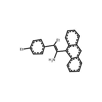 CCC(=C(N)c1c2ccccc2cc2ccccc12)c1ccc(CC)cc1